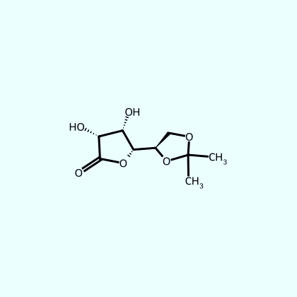 CC1(C)OC[C@H]([C@@H]2OC(=O)[C@H](O)[C@@H]2O)O1